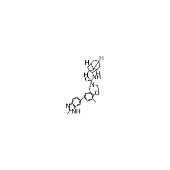 Cc1nc2ccc(-c3cc(C)c4c(c3)CN(C(=O)NC3[C@H]5C[C@@H]6C[C@@H](C[C@H]3C6)C5)CCO4)cc2[nH]1